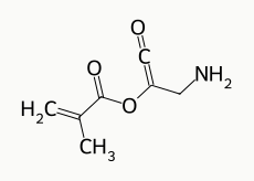 C=C(C)C(=O)OC(=C=O)CN